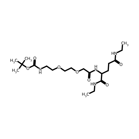 CCNC(=O)CCC(NC(=O)COCCOCCNC(=O)OC(C)(C)C)C(=O)NCC